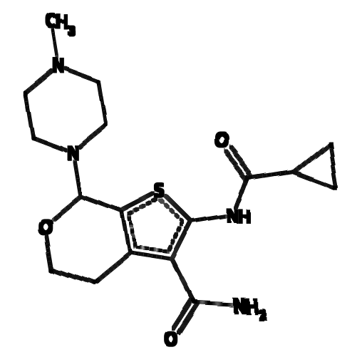 CN1CCN(C2OCCc3c2sc(NC(=O)C2CC2)c3C(N)=O)CC1